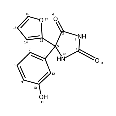 O=C1NC(=O)C(c2cccc(O)c2)(c2ccco2)N1